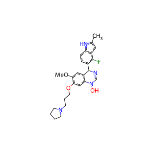 COc1cc2c(cc1OCCCN1CCCC1)N(O)C=NC2c1ccc2[nH]c(C)cc2c1F